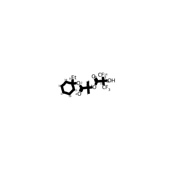 CCC1(OC(=O)C(C)(C)OC(=O)C(O)(C(F)(F)F)C(F)(F)F)CCCCC1